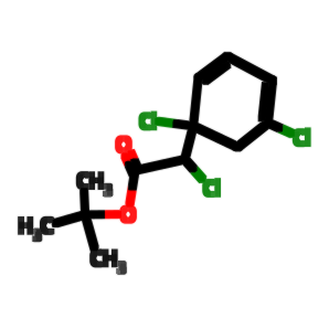 CC(C)(C)OC(=O)C(Cl)C1(Cl)C=CC=C(Cl)C1